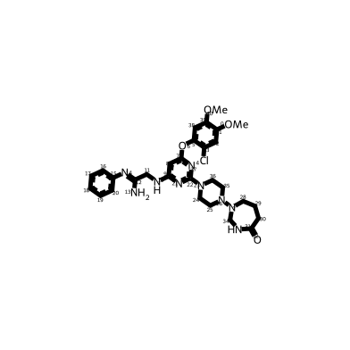 COc1cc(Cl)c(Oc2cc(NC/C(N)=N/c3ccccc3)nc(N3CCN(N4CCCC(=O)NC4)CC3)n2)cc1OC